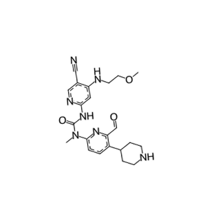 COCCNc1cc(NC(=O)N(C)c2ccc(C3CCNCC3)c(C=O)n2)ncc1C#N